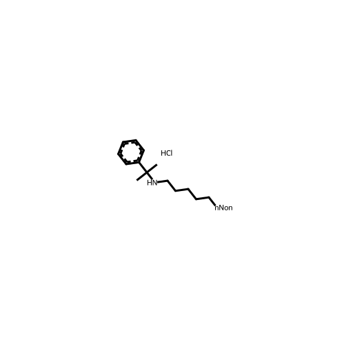 CCCCCCCCCCCCCCNC(C)(C)c1ccccc1.Cl